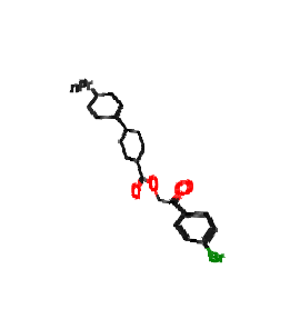 CCCC1CCC(C2CCC(C(=O)OCC(=O)c3ccc(Br)cc3)CC2)CC1